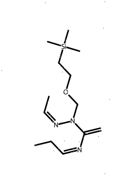 C=C(/N=C\CC)N(COCC[Si](C)(C)C)/N=C\C